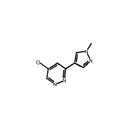 Cn1cc(-c2cc(Cl)cnn2)cn1